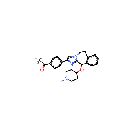 CN1CCC(OC2c3ccccc3CCn3cc(-c4ccc(C(=O)C(F)(F)F)cc4)nc32)CC1